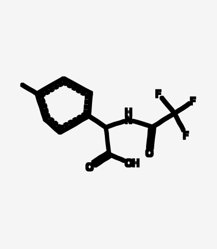 Cc1ccc(C(NC(=O)C(F)(F)F)C(=O)O)cc1